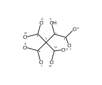 OC(C(Cl)Cl)C(C(Cl)Cl)(C(Cl)Cl)C(Cl)Cl